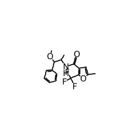 COC(c1ccccc1)C(C)NC(=O)c1cc(C)oc1C(F)(F)F